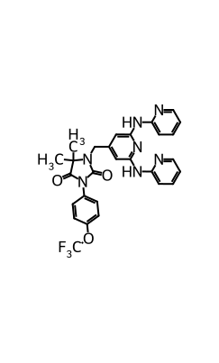 CC1(C)C(=O)N(c2ccc(OC(F)(F)F)cc2)C(=O)N1Cc1cc(Nc2ccccn2)nc(Nc2ccccn2)c1